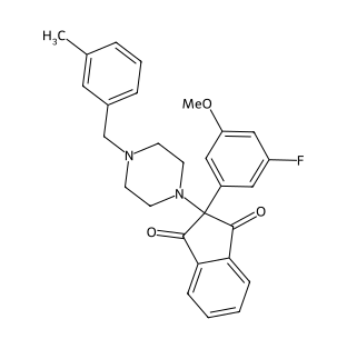 COc1cc(F)cc(C2(N3CCN(Cc4cccc(C)c4)CC3)C(=O)c3ccccc3C2=O)c1